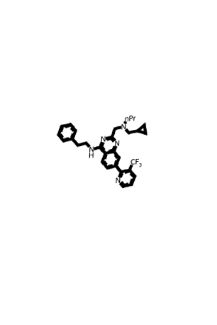 CCCN(Cc1nc(NCCc2ccccc2)c2ccc(-c3ncccc3C(F)(F)F)cc2n1)CC1CC1